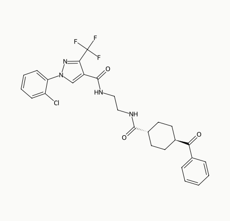 O=C(NCCNC(=O)[C@H]1CC[C@H](C(=O)c2ccccc2)CC1)c1cn(-c2ccccc2Cl)nc1C(F)(F)F